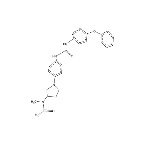 CC(=O)N(C)C1CCN(c2ccc(NC(=O)Nc3ccc(Oc4ccccc4)nc3)cc2)C1